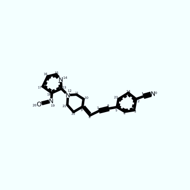 N#Cc1ccc(C#CC=C2CCN(c3ncccc3N=O)CC2)cc1